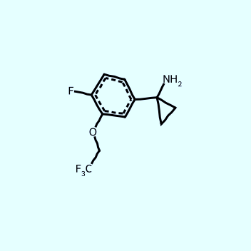 NC1(c2ccc(F)c(OCC(F)(F)F)c2)CC1